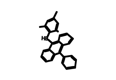 Cc1cc(C)c(Bc2c3ccccc3c(-c3ccccc3)c3ccccc23)c(C)c1